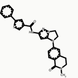 CN1CCc2cc(N3CCn4nc(NC(=O)c5csc(-c6ccccc6)c5)cc43)ccc2C1=O